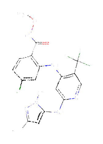 CONC(=O)c1ccc(F)cc1Nc1cc(Nc2cc(C)nn2C)ncc1C(F)(F)F